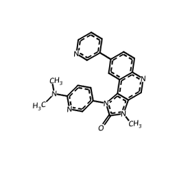 CN(C)c1ccc(-n2c(=O)n(C)c3cnc4ccc(-c5cccnc5)cc4c32)cn1